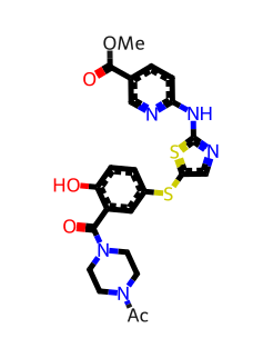 COC(=O)c1ccc(Nc2ncc(Sc3ccc(O)c(C(=O)N4CCN(C(C)=O)CC4)c3)s2)nc1